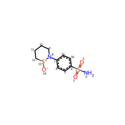 NS(=O)(=O)c1ccc(N2CCCC[S+]2[O-])cc1